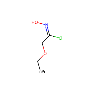 CCCCOC/C(Cl)=N\O